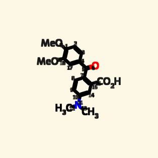 COc1ccc(C(=O)c2ccc(N(C)C)cc2C(=O)O)cc1OC